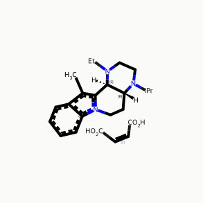 CCN1CCN(C(C)C)[C@@H]2CCn3c(c(C)c4ccccc43)[C@H]21.O=C(O)/C=C\C(=O)O